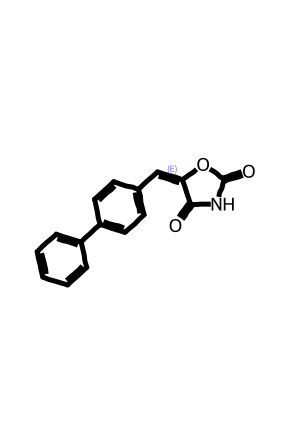 O=C1NC(=O)/C(=C\c2ccc(-c3ccccc3)cc2)O1